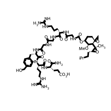 CO[C@@H]1[C@H](OC(=O)NCC(=O)N[C@@H](CCCNC(=N)N)C(=O)NCC(=O)NCC(=O)N[C@@H](Cc2ccc(CO)cc2)C(=O)N[C@@H](CCCNC(=N)N)C(=O)N[C@@H](CCC(=O)O)C(N)=O)CC[C@]2(CO2)[C@H]1[C@@]1(C)O[C@@H]1CCC(C)C